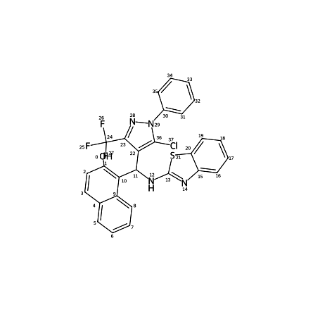 Oc1ccc2ccccc2c1C(Nc1nc2ccccc2s1)c1c(C(F)(F)F)nn(-c2ccccc2)c1Cl